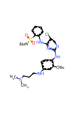 CNS(=O)(=O)c1ccccc1Nc1nc(Nc2ccc(NCCCN(C)C)cc2OCC(C)C)ncc1Cl